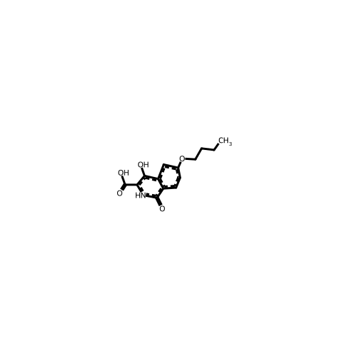 CCCCOc1ccc2c(=O)[nH]c(C(=O)O)c(O)c2c1